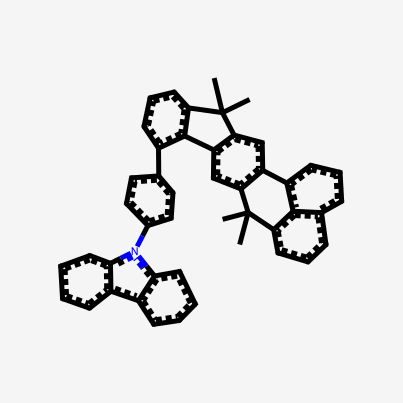 CC1(C)c2cc3c(cc2-c2c(-c4ccc(-n5c6ccccc6c6ccccc65)cc4)cccc21)C(C)(C)c1cccc2cccc-3c12